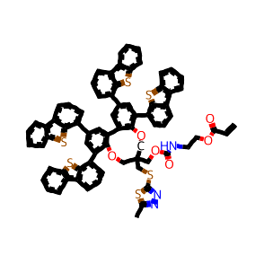 C=CC(=O)OCCNC(=O)OCC1(CSc2nnc(C)s2)COc2c(cc(-c3cccc4c3sc3ccccc34)cc2-c2cccc3c2sc2ccccc23)-c2cc(-c3cccc4c3sc3ccccc34)cc(-c3cccc4c3sc3ccccc34)c2OC1